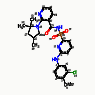 COc1ccc(Nc2cccc(S(=O)(=O)NC(=O)c3cccnc3N3CC(C)CC3(C)C)n2)cc1Cl